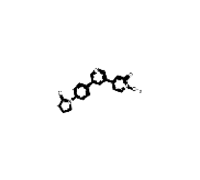 Cn1ccc(-c2cncc(-c3ccc(N4CCCC4=O)cc3)c2)cc1=O